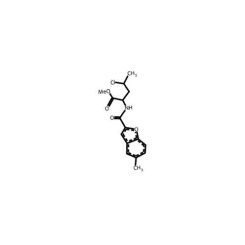 COC(=O)C(CC(C)Cl)NC(=O)c1cc2cc(C)ccc2o1